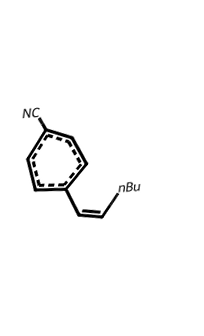 CCCC/C=C\c1ccc(C#N)cc1